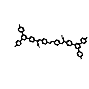 Cc1ccc(-c2cc(-c3ccc(C)cc3)cc(-c3ccc(/C(C#N)=C/c4ccc(/C=C/c5ccc(/C=C(\C#N)c6ccc(-c7cc(-c8ccc(C)cc8)cc(-c8ccc(C)cc8)c7)cc6)cc5)cc4)cc3)c2)cc1